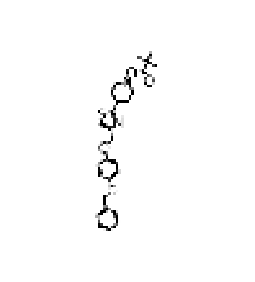 CC(C)(C)C(=O)ON1CCC(c2nc(COc3ccc(OCc4ccccc4)cc3)cs2)CC1